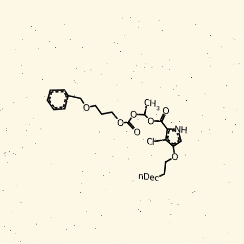 CCCCCCCCCCCCOc1c[nH]c(C(=O)OC(C)OC(=O)OCCCOCc2ccccc2)c1Cl